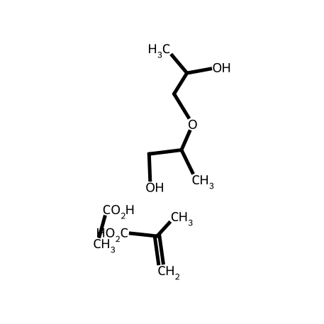 C=C(C)C(=O)O.CC(=O)O.CC(O)COC(C)CO